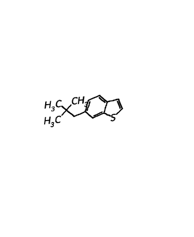 CC(C)(C)Cc1ccc2ccsc2c1